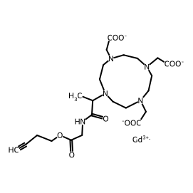 C#CCCOC(=O)CNC(=O)C(C)N1CCN(CC(=O)[O-])CCN(CC(=O)[O-])CCN(CC(=O)[O-])CC1.[Gd+3]